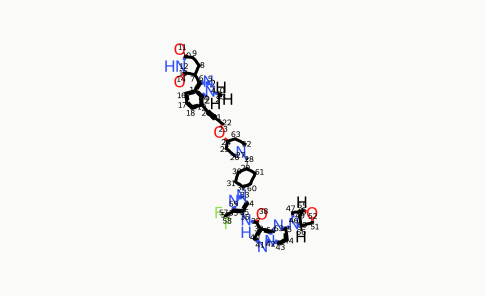 [2H]C([2H])([2H])n1nc(C2CCC(=O)NC2=O)c2cccc(C#CCOC3CCN(C[C@H]4CC[C@H](n5cc(NC(=O)c6cnn7ccc(N8C[C@H]9C[C@@H]8CO9)nc67)c(C(F)F)n5)CC4)CC3)c21